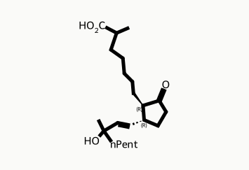 CCCCCC(C)(O)C=C[C@H]1CCC(=O)[C@@H]1CCCCCC(C)C(=O)O